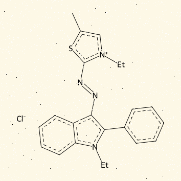 CCn1c(-c2ccccc2)c(N=Nc2sc(C)c[n+]2CC)c2ccccc21.[Cl-]